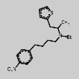 CCN(CCCCc1ccc([N+](=O)[O-])cc1)C(C)Cc1cccs1